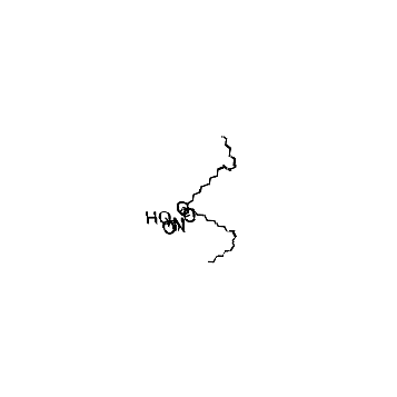 CCCCC/C=C\C/C=C\CCCCCCCCC1(CCCCCCCC/C=C\C/C=C\CCCCC)OC[C@H](CN(C)CC(=O)O)O1